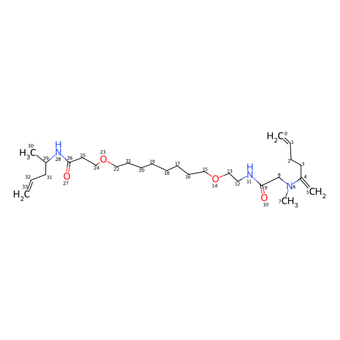 C=CCCC(=C)N(C)CC(=O)NCCOCCCCCCCCOCCC(=O)NC(C)CC=C